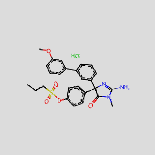 CCCS(=O)(=O)Oc1ccc(C2(c3cccc(-c4cccc(OC)c4)c3)N=C(N)N(C)C2=O)cc1.Cl